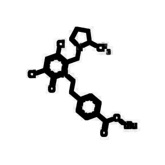 CC(C)(C)OC(=O)c1ccc(CCn2c(CN3CCCC3C(F)(F)F)c(Cl)cc(Cl)c2=O)cc1